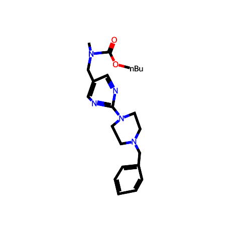 CCCCOC(=O)N(C)Cc1cnc(N2CCN(Cc3ccccc3)CC2)nc1